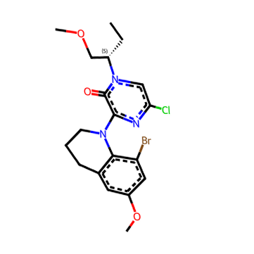 CC[C@@H](COC)n1cc(Cl)nc(N2CCCc3cc(OC)cc(Br)c32)c1=O